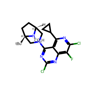 CC(C)(C)[C@]12CC[C@@H](CN(c3nc(Cl)nc4c(F)c(Cl)nc(C5CC5)c34)C1)N2C(=O)O